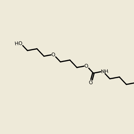 CCCCNC(=O)OCCCOCCCO